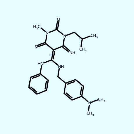 CC(C)CN1C(=N)/C(=C(\NCc2ccc(N(C)C)cc2)Nc2ccccc2)C(=S)N(C)C1=O